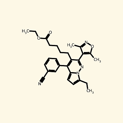 CCOC(=O)CCCCc1c(-c2c(C)noc2C)nn2c(CC)ccc2c1-c1cccc(C#N)c1